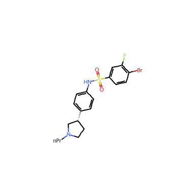 CCCN1CC[C@@H](c2ccc(NS(=O)(=O)c3ccc(Br)c(F)c3)cc2)C1